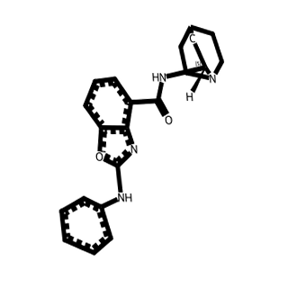 O=C(N[C@@H]1CC2CCN1CC2)c1cccc2oc(Nc3ccccc3)nc12